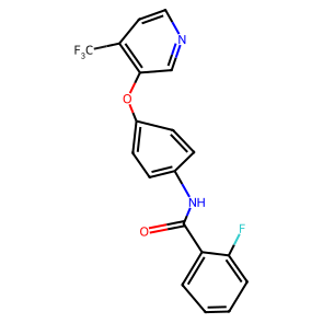 O=C(Nc1ccc(Oc2cnccc2C(F)(F)F)cc1)c1ccccc1F